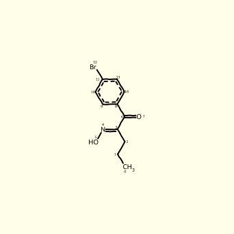 CCCC(=NO)C(=O)c1ccc(Br)cc1